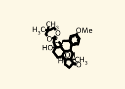 COc1ccc2c(c1)C[C@]13CCC4(C[C@]1(O)CC[C@H]1[C@@H]5CCC(=O)[C@@]5(C)CC2[C@@]13O)OCC(C)(C)CO4